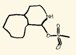 CS(=O)(=O)OC1NCCC2CCCCC21